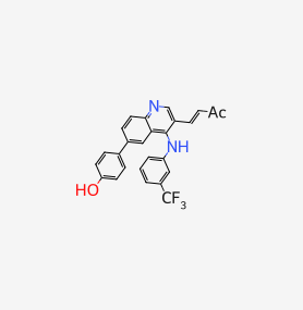 CC(=O)/C=C/c1cnc2ccc(-c3ccc(O)cc3)cc2c1Nc1cccc(C(F)(F)F)c1